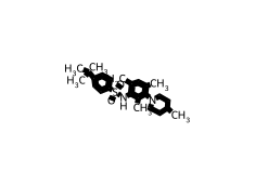 Cc1cc(C)c(N2CCC(C)CC2)c(C)c1NS(=O)(=O)c1ccc(C(C)(C)C)cc1